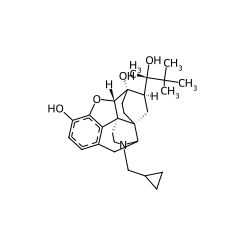 CC(C)(C)[C@@](C)(O)[C@H]1C[C@@]23CC[C@@]1(O)[C@H]1Oc4c(O)ccc5c4[C@@]12CCN(CC1CC1)C3C5